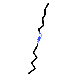 CCCCCC/N=N/CCCCCC